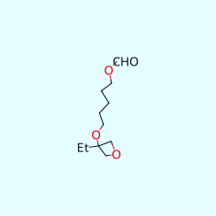 CCC1(OCCCCCOC=O)COC1